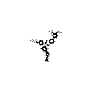 COc1ccc([C@H]2CC[C@@H](CN(c3cccc(-c4coc(C5CC5)n4)c3)C(=O)[C@H]3CC[C@H](CC(=O)O)CC3)CC2)nc1C